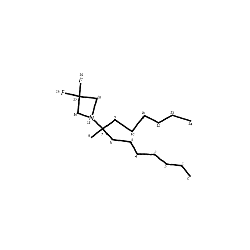 CCCCCCCC(C)(CCCCCC)N1CC(F)(F)C1